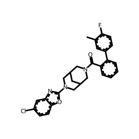 Cc1cc(-c2ccccc2C(=O)N2CC3CC(C2)CN(c2nc4cc(Cl)ccc4o2)C3)ccc1F